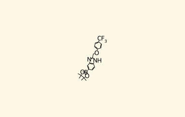 CC1(C)OB(c2ccc3[nH]c(COc4ccc(C(F)(F)F)cc4)nc3c2)OC1(C)C